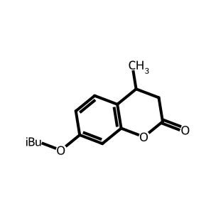 CCC(C)Oc1ccc2c(c1)OC(=O)CC2C